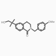 COc1ccc(CN2CCc3cc(C(C)(C)CO)ccc3C2=O)cc1